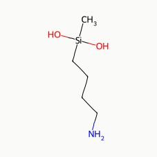 C[Si](O)(O)CCCCN